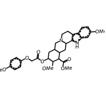 COC(=O)C1C2CC3c4[nH]c5cc(OC)ccc5c4CCN3CC2CC(OC(=O)COc2ccc(OC)cc2)C1OC